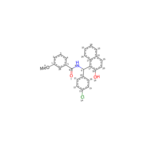 COc1cccc(C(=O)NC(c2ccc(Cl)cc2)c2c(O)ccc3ccccc23)c1